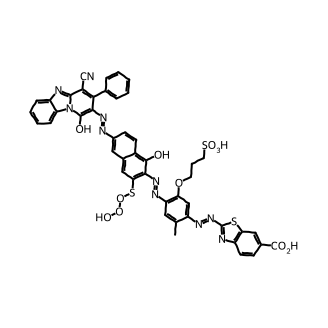 Cc1cc(N=Nc2c(SOOO)cc3cc(N=Nc4c(-c5ccccc5)c(C#N)c5nc6ccccc6n5c4O)ccc3c2O)c(OCCCS(=O)(=O)O)cc1N=Nc1nc2ccc(C(=O)O)cc2s1